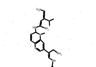 CC(C)C(=C/N)/C=C(\N)NC1C=Cc2ncc(/C(=C/NC3CC3)CN)cc2N1C